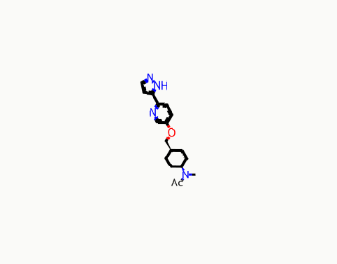 CC(=O)N(C)[C@H]1CC[C@@H](COc2ccc(-c3ccn[nH]3)nc2)CC1